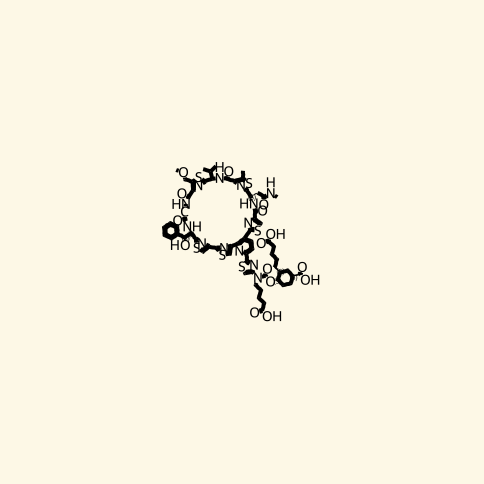 CNC(=O)C[C@@H]1NC(=O)c2csc(n2)-c2ccc(-c3nc(N(CCCCC(=O)O)C(=O)O[C@H]4CC[C@H](C(=O)O)C[C@@H]4CCCCC(=O)O)cs3)nc2-c2csc(n2)-c2csc(n2)[C@H]([C@@H](O)c2ccccc2)NC(=O)CNC(=O)c2nc(sc2COC)C(C(C)C)NC(=O)c2nc1sc2C